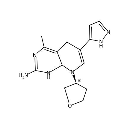 CC1=C2CC(c3ccn[nH]3)=CN([C@H]3CCOC3)C2NC(N)=N1